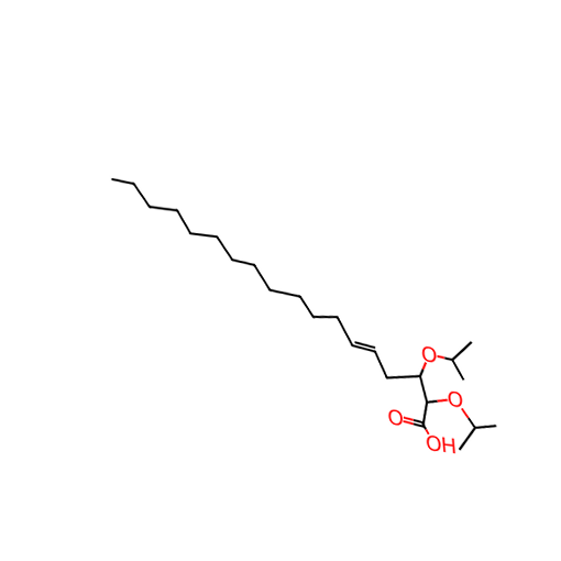 CCCCCCCCCCCCC=CCC(OC(C)C)C(OC(C)C)C(=O)O